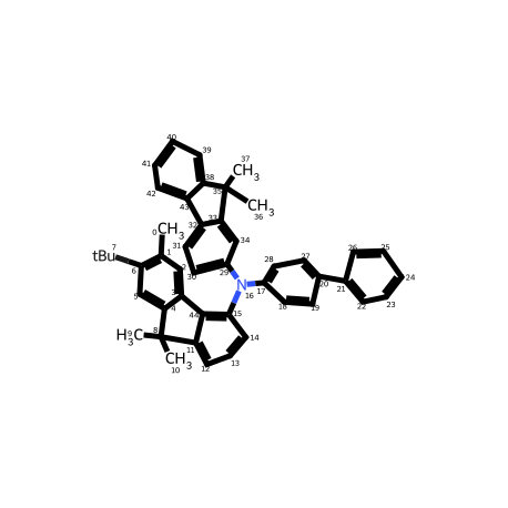 Cc1cc2c(cc1C(C)(C)C)C(C)(C)c1cccc(N(c3ccc(-c4ccccc4)cc3)c3ccc4c(c3)C(C)(C)c3ccccc3-4)c1-2